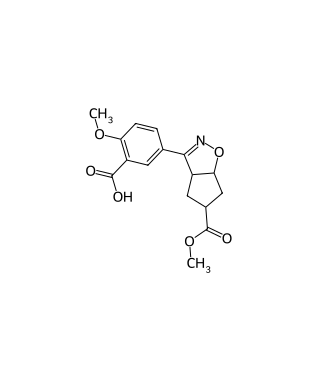 COC(=O)C1CC2ON=C(c3ccc(OC)c(C(=O)O)c3)C2C1